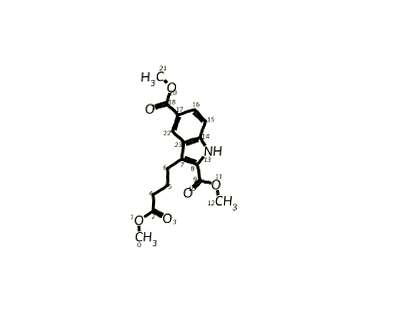 COC(=O)CCCc1c(C(=O)OC)[nH]c2ccc(C(=O)OC)cc12